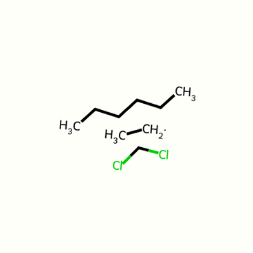 CCCCCC.ClCCl.[CH2]C